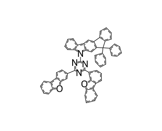 c1ccc(C2(c3ccccc3)c3ccccc3-c3cc4c5ccccc5n(-c5nc(-c6ccc7c(c6)oc6ccccc67)nc(-c6cccc7c6oc6ccccc67)n5)c4cc32)cc1